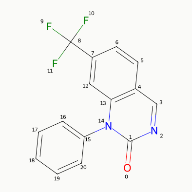 O=c1ncc2ccc(C(F)(F)F)cc2n1-c1ccccc1